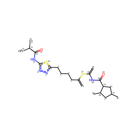 C=C(CCCCc1nnc(NC(=O)C(CC)CCC)s1)SC(=C)NC(=O)C1CC(C)CC1C